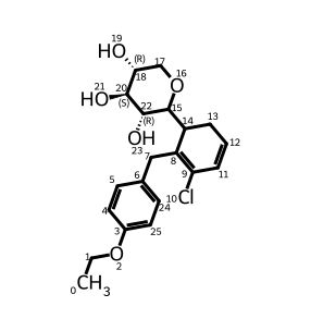 CCOc1ccc(CC2=C(Cl)C=CCC2C2OC[C@@H](O)[C@H](O)[C@H]2O)cc1